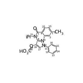 Cc1ccc(C(=O)N(c2nn(-c3ccccc3)cc2OC(=O)O)C(C)C)cc1